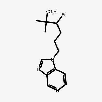 CCC(CCCn1cnc2cnccc21)C(C)(C)C(=O)O